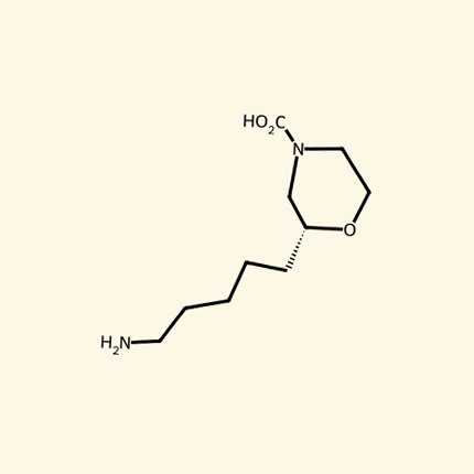 NCCCCC[C@@H]1CN(C(=O)O)CCO1